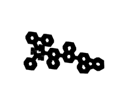 c1ccc(-c2nc(-c3ccccc3-c3ccccc3)nc(-c3ccc(-c4ccc(-c5ccc6c7c(cccc57)-c5ccccc5-6)c5ccccc45)c4ccccc34)n2)cc1